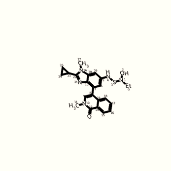 CCN(O)SNc1cc(-c2cn(C)c(=O)c3ccccc23)c2nc(C3CC3)n(C)c2c1